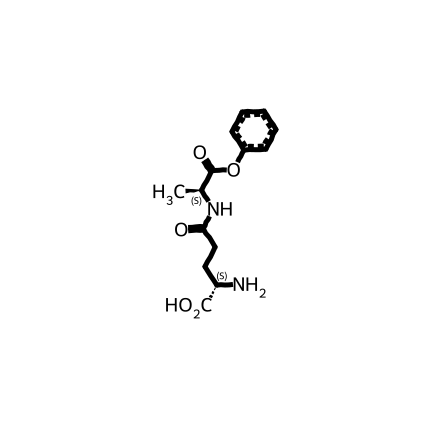 C[C@H](NC(=O)CC[C@H](N)C(=O)O)C(=O)Oc1ccccc1